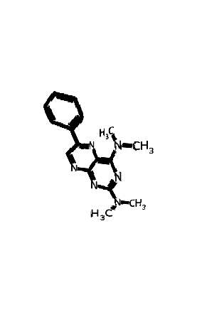 CN(C)c1nc(N(C)C)c2nc(-c3ccccc3)cnc2n1